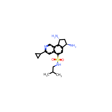 CC(C)CNS(=O)(=O)c1cc2c(c3cnc(C4CC4)cc13)[C@H](N)C[C@H]2N